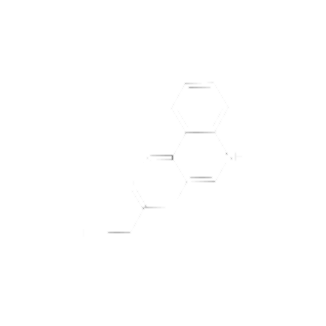 CCC(=O)Oc1c[nH]c2ccccc2c1=O